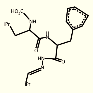 CC(C)C=NNC(=O)C(Cc1ccccc1)NC(=O)C(CC(C)C)NC(=O)O